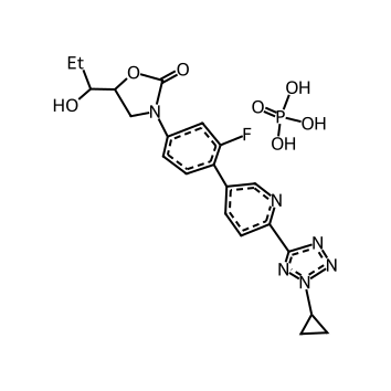 CCC(O)C1CN(c2ccc(-c3ccc(-c4nnn(C5CC5)n4)nc3)c(F)c2)C(=O)O1.O=P(O)(O)O